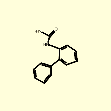 [NH]C(=O)Nc1ccccc1-c1ccccc1